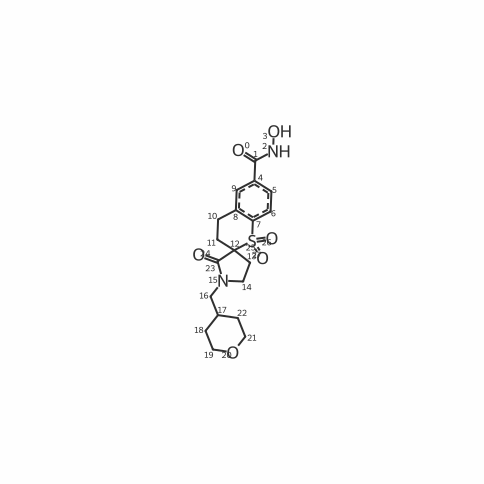 O=C(NO)c1ccc2c(c1)CCC1(CCN(CC3CCOCC3)C1=O)S2(=O)=O